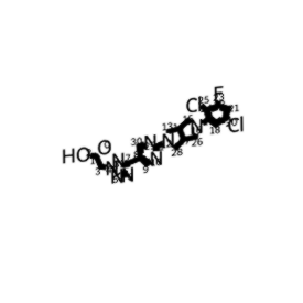 O=C(O)Cn1nnc(-c2cnc(N3CC4CN(c5cc(Cl)cc(F)c5Cl)CC4C3)nc2)n1